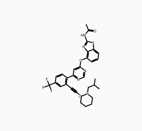 CC(=O)Nc1nc2c(Oc3cc(-c4ccc(C(F)(F)F)cc4C#C[C@@H]4CCCCN4CC(C)C)ncn3)cccc2s1